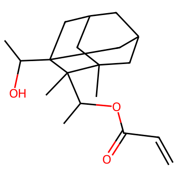 C=CC(=O)OC(C)C1(C)C2(C)CC3CC(C2)CC1(C(C)O)C3